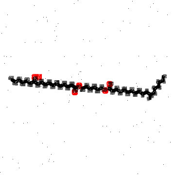 CCCCCCC(C)CCCCCCCCCCC(=O)OCCCCCCOC(=O)CCCCCCCCCCC(O)CCCCCC